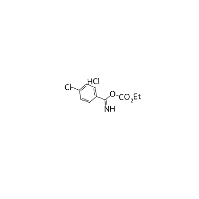 CCOC(=O)OC(=N)c1ccc(Cl)cc1.Cl